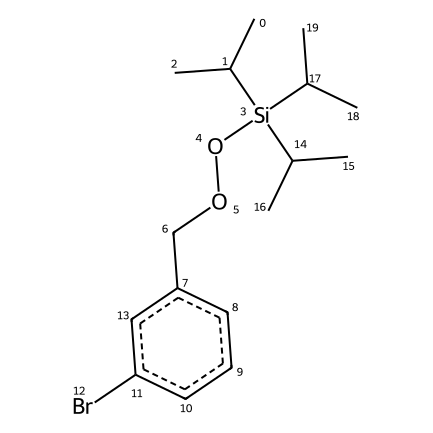 CC(C)[Si](OOCc1cccc(Br)c1)(C(C)C)C(C)C